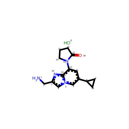 Cl.NCc1cn2cc(C3CC3)cc(N3CCCC3=O)c2n1